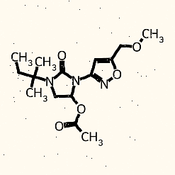 CCC(C)(C)N1CC(OC(C)=O)N(c2cc(COC)on2)C1=O